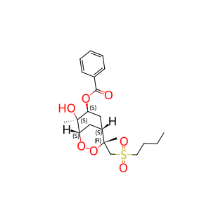 CCCCS(=O)(=O)C[C@]1(C)OO[C@H]2C[C@@H]1C[C@H](OC(=O)c1ccccc1)[C@]2(C)O